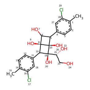 Cc1ccc(C2C(O)[C@@]3(O)C(c4ccc(C)c(Cl)c4)[C@@](O)([C@H](O)CO)[C@@]23O)cc1Cl